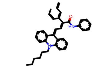 C=C/C=C(\C=C/C)C(=C\C=C1c2ccccc2N(CCCCCC)c2ccccc21)/C(=O)Nc1ccccc1